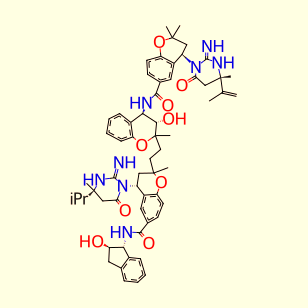 C=C(C)[C@]1(C)CC(=O)N([C@@H]2CC(C)(C)Oc3ccc(C(=O)N[C@@H]4c5ccccc5OC(C)(CCC5(C)C[C@@H](N6C(=N)N[C@](C)(C(C)C)CC6=O)c6cc(C(=O)N[C@@H]7c8ccccc8C[C@H]7O)ccc6O5)[C@H]4O)cc32)C(=N)N1